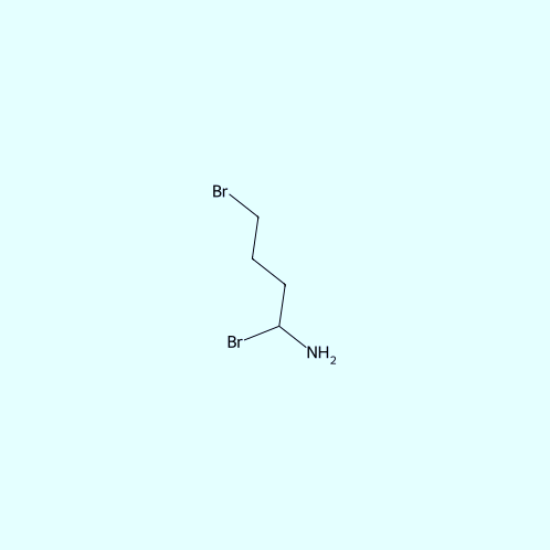 NC(Br)CCCBr